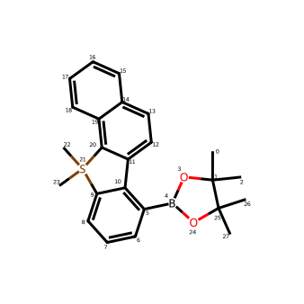 CC1(C)OB(c2cccc3c2-c2ccc4ccccc4c2S3(C)C)OC1(C)C